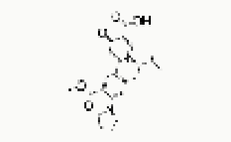 COC(=O)c1cc2c(cc1N1CCCC1)CC(C(C)C)n1cc(C(=O)O)c(=O)cc1-2